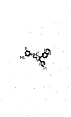 CC(C)n1ccc(-c2nc(CNc3cc(F)cc(C#N)c3)[nH]c2-c2ccc3nccnc3c2)n1